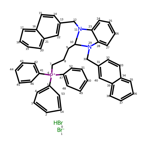 Br.[Br-].c1ccc([P+](CCCC2N(Cc3ccc4ccccc4c3)c3ccccc3N2Cc2ccc3ccccc3c2)(c2ccccc2)c2ccccc2)cc1